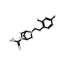 Cc1ccc(CCN2CC3CC2CN3C(=O)O)c(C)c1